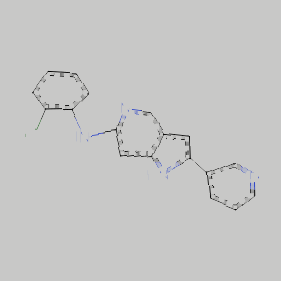 Clc1ccccc1Nc1cc2[nH]c(-c3cccnc3)cc2cn1